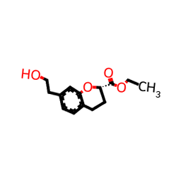 CCOC(=O)[C@@H]1CCc2ccc(CCO)cc2O1